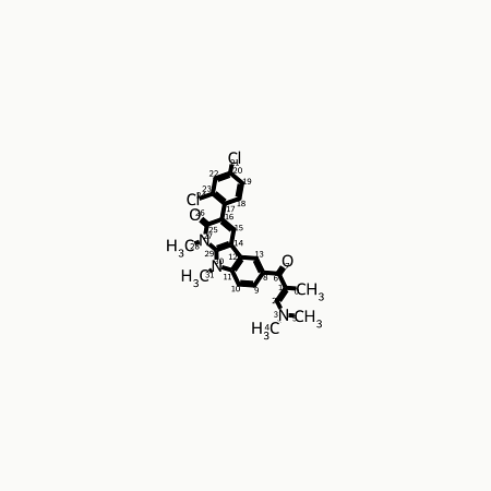 CC(=CN(C)C)C(=O)c1ccc2c(c1)c1cc(-c3ccc(Cl)cc3Cl)c(=O)n(C)c1n2C